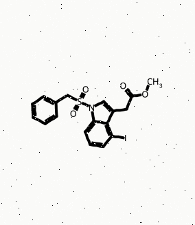 COC(=O)Cc1cn(S(=O)(=O)Cc2ccccc2)c2cccc(I)c12